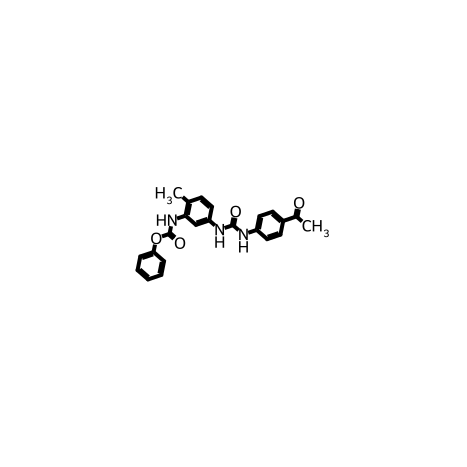 CC(=O)c1ccc(NC(=O)Nc2ccc(C)c(NC(=O)Oc3ccccc3)c2)cc1